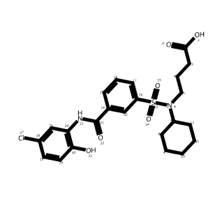 O=C(O)CCCN(C1CCCCC1)S(=O)(=O)c1cccc(C(=O)Nc2cc(Cl)ccc2O)c1